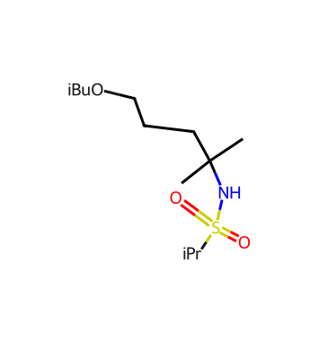 CC(C)COCCCC(C)(C)NS(=O)(=O)C(C)C